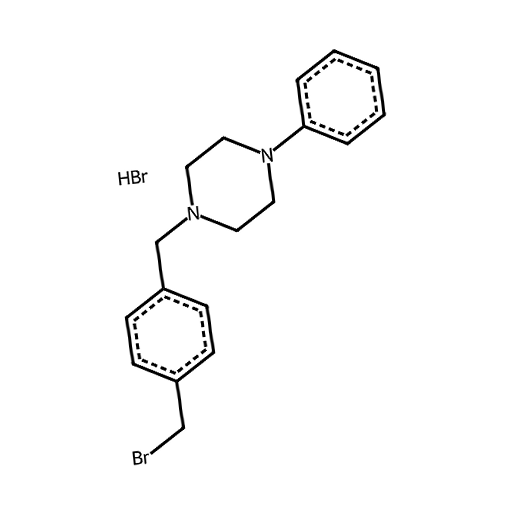 Br.BrCc1ccc(CN2CCN(c3ccccc3)CC2)cc1